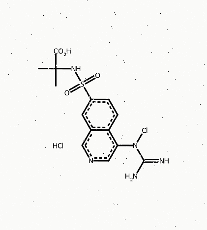 CC(C)(NS(=O)(=O)c1ccc2c(N(Cl)C(=N)N)cncc2c1)C(=O)O.Cl